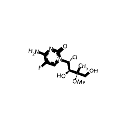 CO[C@](C)(CO)[C@@H](O)[C@@H](Cl)n1cc(F)c(N)nc1=O